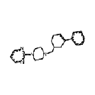 C1=C(c2ccccc2)CC(CN2CCN(c3ncccn3)CC2)CC1